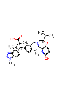 Cc1ccc([C@@H](c2ccc3c(nnn3C)c2C)C(C)(C)C(=O)O)cc1CN1Cc2nc(O)ccc2O[C@H](C(C)C)C1